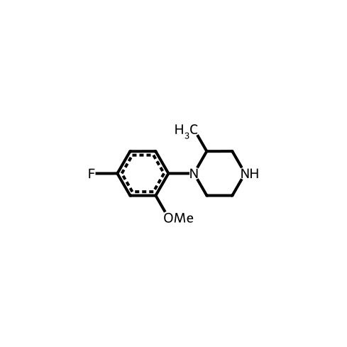 COc1cc(F)ccc1N1CCNCC1C